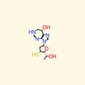 CC(O)[C@H]1O[C@H](n2cnc3c2N=CNC[C@H]3O)C[C@@H]1S